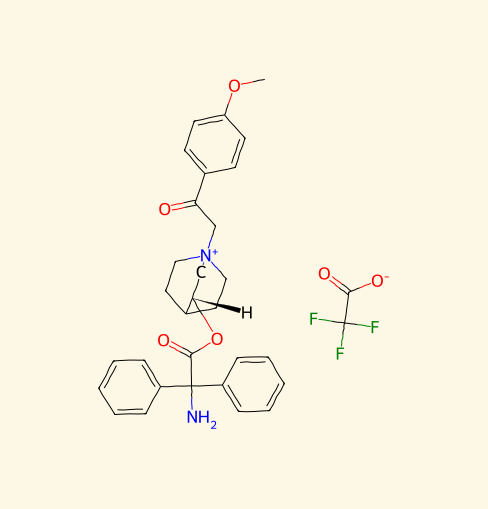 COc1ccc(C(=O)C[N+]23CCC(CC2)[C@@H](OC(=O)C(N)(c2ccccc2)c2ccccc2)C3)cc1.O=C([O-])C(F)(F)F